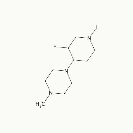 CN1CCN(C2CCN(I)CC2F)CC1